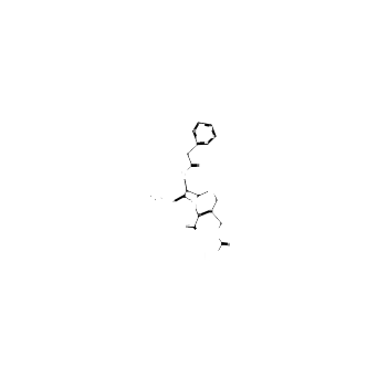 CC(=O)OCC1=C(C(=O)[O-])N2C(=O)C(NC(=O)Cc3ccccc3)C2SC1.[Na+]